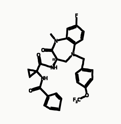 CN1C(=O)[C@H](NC(=O)C2(NC(=O)c3ccccc3)CC2)CN(Cc2ccc(OC(F)(F)F)cc2)c2ccc(F)cc21